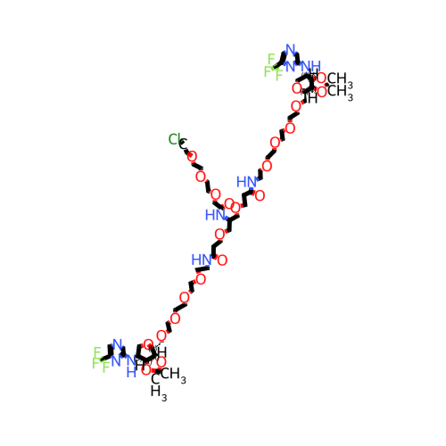 CC1(C)O[C@@H]2[C@H](O1)[C@@H](Nc1cncc(C(F)(F)F)n1)CO[C@@H]2COCCOCCOCCOCCNC(=O)CCOCC(COCCC(=O)NCCOCCOCCOCCOC[C@H]1OC[C@H](Nc2cncc(C(F)(F)F)n2)[C@H]2OC(C)(C)O[C@H]21)NC(=O)COCCOCCOCCCl